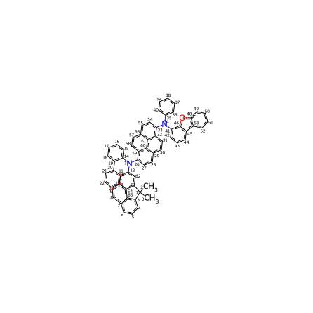 CC1(C)c2cccc3ccc4cc(N(c5ccccc5-c5ccccc5)c5ccc6ccc7c(N(c8ccccc8)c8cccc9c8oc8ccccc89)ccc8ccc5c6c87)cc1c4c23